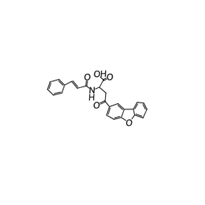 O=C(C=Cc1ccccc1)NC(CC(=O)c1ccc2oc3ccccc3c2c1)C(=O)O